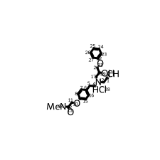 C#CCN(CCc1ccc(OCC(=O)NC)cc1)CC(O)COc1ccccc1.Cl